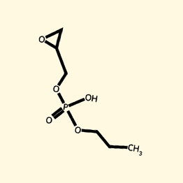 CCCOP(=O)(O)OCC1CO1